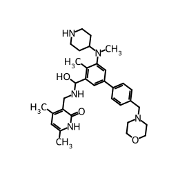 Cc1cc(C)c(CNC(O)c2cc(-c3ccc(CN4CCOCC4)cc3)cc(N(C)C3CCNCC3)c2C)c(=O)[nH]1